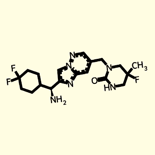 CC1(F)CNC(=O)N(Cc2cnn3cc([C@@H](N)C4CCC(F)(F)CC4)nc3c2)C1